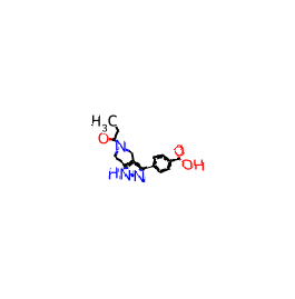 CCC(=O)N1Cc2[nH]nc(-c3ccc(C(=O)O)cc3)c2C1